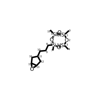 C[SiH]1O[SiH](C)O[Si](C)(CCCC2CC3OC3C2)O[SiH](C)O1